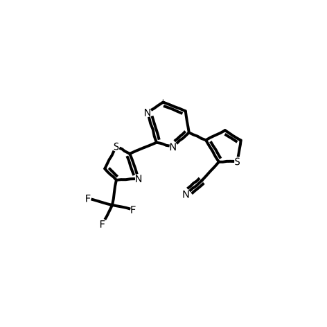 N#Cc1sccc1-c1c[c]nc(-c2nc(C(F)(F)F)cs2)n1